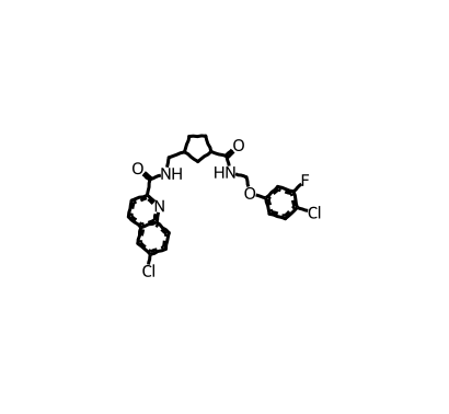 O=C(NCC1CCC(C(=O)NCOc2ccc(Cl)c(F)c2)C1)c1ccc2cc(Cl)ccc2n1